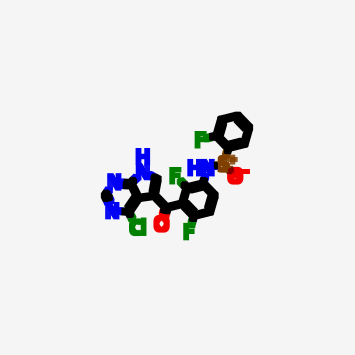 O=C(c1c(F)ccc(N[S+]([O-])c2ccccc2F)c1F)c1c[nH]c2ncnc(Cl)c12